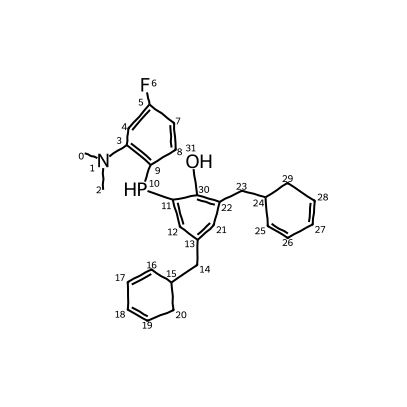 CN(C)c1cc(F)ccc1Pc1cc(CC2C=CC=CC2)cc(CC2C=CC=CC2)c1O